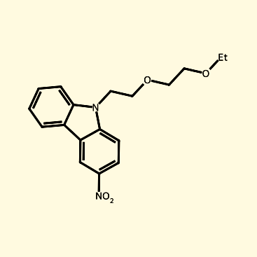 CCOCCOCCn1c2ccccc2c2cc([N+](=O)[O-])ccc21